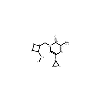 CO[C@H]1CCC1Cn1cc(C2CC2)cc(N)c1=O